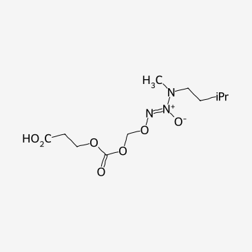 CC(C)CCN(C)[N+]([O-])=NOCOC(=O)OCCC(=O)O